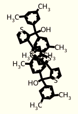 Cc1cc(C)cc(C(O)(c2cc(C)cc(C)c2)c2sccc2-c2cc3sc(-c4ccsc4C(O)(c4cc(C)cc(C)c4)c4cc(C)cc(C)c4)cc3s2)c1